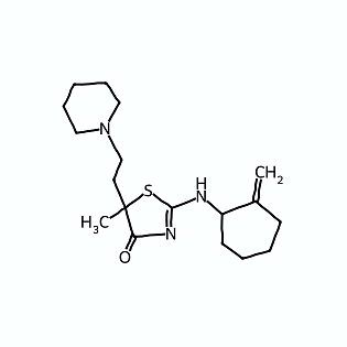 C=C1CCCCC1NC1=NC(=O)C(C)(CCN2CCCCC2)S1